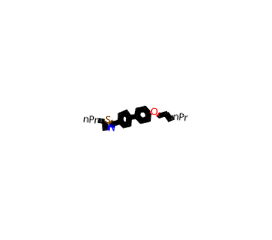 CCCC=CCOc1ccc(-c2ccc(-c3ncc(CCC)s3)cc2)cc1